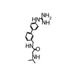 CC(C)NCC(=O)NCc1cccc(-c2ccc(NC(=N)N)cc2)c1